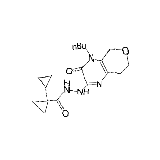 CCCCn1c2c(nc(NNC(=O)C3(C4CC4)CC3)c1=O)CCOC2